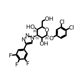 OCC1O[C@H](Oc2ccc(Cl)c(Cl)c2)C(O)[C@@H](n2cc(-c3cc(F)c(F)c(F)c3)nn2)[C@H]1O